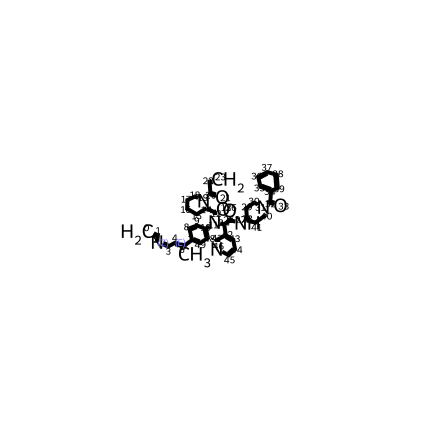 C=C/N=C\C=C(/C)c1ccc(N(C(=O)C2CCCCN2C(=O)C=C)C(C(=O)NC2CCN(C(=O)c3ccccc3)CC2)c2cccnc2)cc1